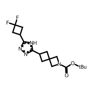 CC(C)(C)OC(=O)N1CC2(CC(c3nnc(C4CC(F)(F)C4)[nH]3)C2)C1